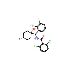 O=C(NC(c1cccc(F)c1Cl)[C@]1(O)CC[C@H](F)CC1)c1c(F)cccc1Cl